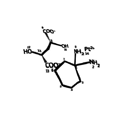 NC1(N)CCCCC1.O=C([O-])[C@H](O)[C@@H](O)C(=O)[O-].[Pt+2]